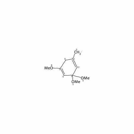 [CH2]C1=CC(OC)(OC)C=C(OC)C1